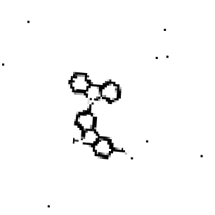 Brc1ccc2[nH]c3ccc(-n4c5ccccc5c5ccccc54)cc3c2c1